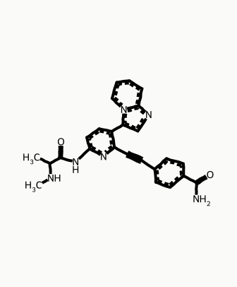 CNC(C)C(=O)Nc1ccc(-c2cnc3ccccn23)c(C#Cc2ccc(C(N)=O)cc2)n1